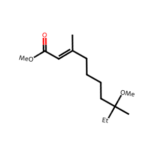 CCC(C)(CCCCC(C)=CC(=O)OC)OC